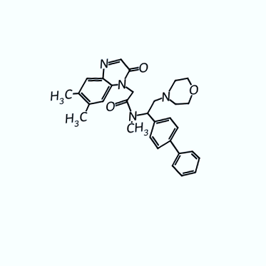 Cc1cc2ncc(=O)n(CC(=O)N(C)C(CN3CCOCC3)c3ccc(-c4ccccc4)cc3)c2cc1C